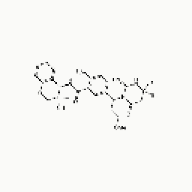 CCC1(CC)CC(=O)N(C(CCOC)c2ccc(C(F)(F)F)c(C(=O)N[C@@H]3c4ccccc4OC[C@]3(C)O)c2)C(=N)N1